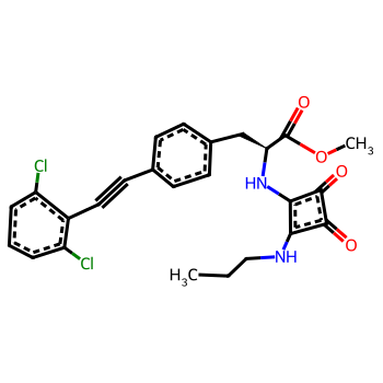 CCCNc1c(N[C@@H](Cc2ccc(C#Cc3c(Cl)cccc3Cl)cc2)C(=O)OC)c(=O)c1=O